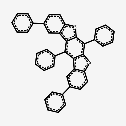 c1ccc(-c2ccc3sc4c(-c5ccccc5)c5sc6ccc(-c7ccccc7)cc6c5c(-c5ccccc5)c4c3c2)cc1